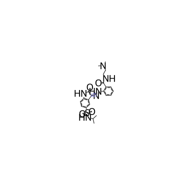 CC(C)NS(=O)(=O)c1ccc2c(c1)/C(=N/Nc1ccccc1C(=O)NCCN(C)C)C(=O)N2